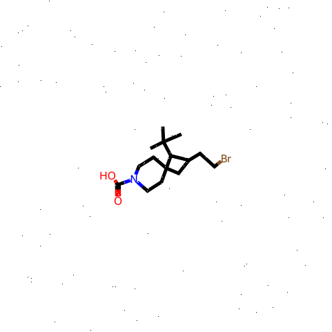 CC(C)(C)C1C(CCBr)CC12CCN(C(=O)O)CC2